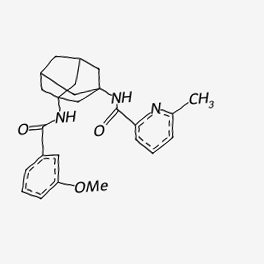 COc1cccc(C(=O)NC23CC4CC(C2)CC(NC(=O)c2cccc(C)n2)(C4)C3)c1